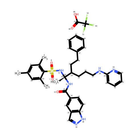 Cc1cc(C)c(S(=O)(=O)N[C@](NC(=O)c2ccc3[nH]ncc3c2)(C(=O)O)C(CCCNc2ccccn2)CCc2ccccc2)c(C)c1.O=C(O)C(F)(F)F